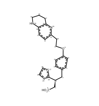 O=C(O)C[C@H](Cc1ccc(OCCc2ccc3c(n2)CCCN3)cc1)c1nccs1